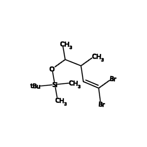 CC(C=C(Br)Br)C(C)O[Si](C)(C)C(C)(C)C